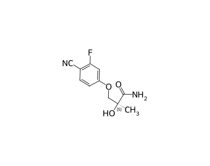 C[C@](O)(COc1ccc(C#N)c(F)c1)C(N)=O